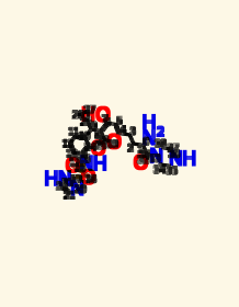 NC(CCc1cc(O)c(C(c2cccc(NS(=O)(=O)c3ncc[nH]3)c2)C2CC2)c(=O)o1)C(=O)N1CCNCC1